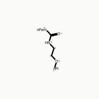 CCCCCC(=O)NCCOCCC